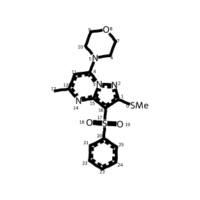 CSc1nn2c(N3CCOCC3)cc(C)nc2c1S(=O)(=O)c1ccccc1